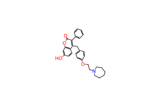 O=c1oc2cc(O)ccc2c(Cc2ccc(OCCN3CCCCCC3)cc2)c1-c1ccccc1